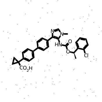 C[C@@H](OC(=O)Nc1c(-c2ccc(-c3ccc(C4(C(=O)O)CC4)cc3)cc2)ncn1C)c1ccccc1Cl